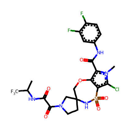 CC(NC(=O)C(=O)N1CCC2(COc3c(c(Cl)n(C)c3C(=O)Nc3ccc(F)c(F)c3)S(=O)(=O)N2)C1)C(F)(F)F